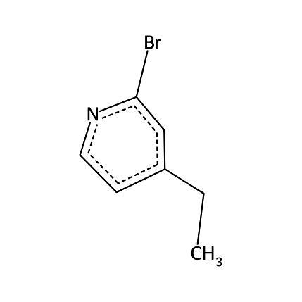 CCc1ccnc(Br)c1